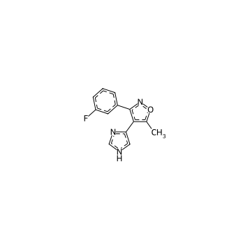 Cc1onc(-c2cccc(F)c2)c1-c1c[nH]cn1